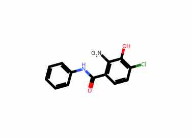 O=C(Nc1ccccc1)c1ccc(Cl)c(O)c1[N+](=O)[O-]